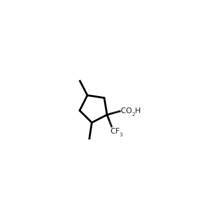 CC1CC(C)C(C(=O)O)(C(F)(F)F)C1